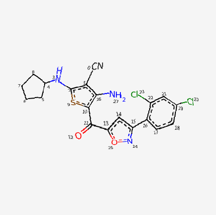 N#Cc1c(NC2CCCC2)sc(C(=O)c2cc(-c3ccc(Cl)cc3Cl)no2)c1N